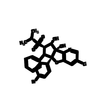 CN(C)S(=O)(=O)[C@@H]1C(c2ccccc2)[C@]2(c3ccc(Br)cc3)Oc3cc(Cl)cnc3[C@]2(O)[C@@H]1O